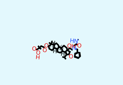 CNC(=O)CN(Cc1ccccc1)CC(O)C12CC[C@]3(C)[C@H](CC[C@@H]4[C@@]5(C)CC[C@H](OC(=O)CC(C)(C)C(=O)O)C(C)(C)[C@@H]5CC[C@]43C)C1=C(C(C)C)C(=O)C2